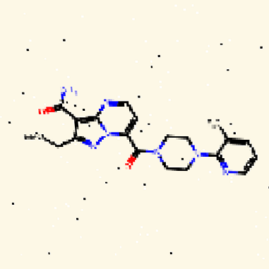 COCc1nn2c(C(=O)N3CCN(c4ncccc4C(F)(F)F)CC3)ccnc2c1C(N)=O